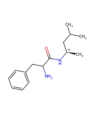 CC(C)C[C@@H](C)NC(=O)C(N)Cc1ccccc1